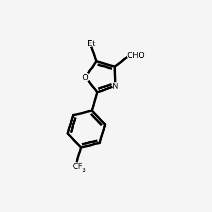 CCc1oc(-c2ccc(C(F)(F)F)cc2)nc1C=O